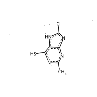 Cc1nc(S)c2[nH]c(Cl)nc2n1